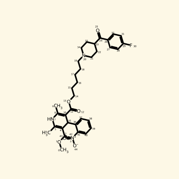 COC(=O)C1=C(C)NC(C)=C(C(=O)OCCCCCCN2CCC(C(=O)c3ccc(F)cc3)CC2)C1c1ccccc1[N+](=O)[O-]